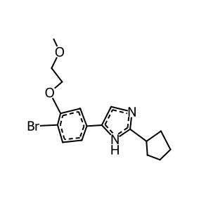 COCCOc1cc(-c2cnc(C3CCCC3)[nH]2)ccc1Br